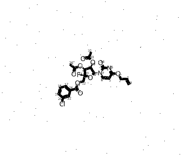 C=CCOc1ccn([C@@H]2O[C@](F)(COC(=O)c3cccc(Cl)c3)[C@@H](OC(C)=O)[C@H]2OC(C)=O)c(=O)n1